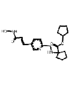 O=C(C=Cc1ccc(CNC2(C(=O)OC3CCCC3)CCCC2)nc1)NO